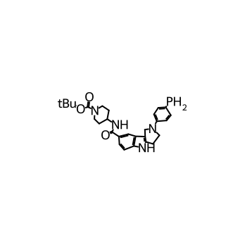 CC(C)(C)OC(=O)N1CCC(NC(=O)c2ccc3[nH]c4c(c3c2)CN(c2ccc(P)cc2)CC4)CC1